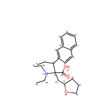 CCC(c1ccc2ccccc2c1)C(CC1CCCO1)(C(=O)O)N(CC)CC